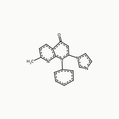 Cc1ccc2c(=O)cc(-n3ccnc3)n(-c3ccccc3)c2n1